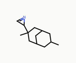 CC1CC2CC(C1)CC(C)(C1C=N1)C2